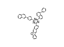 c1ccc(-c2cccc3c(-c4nc(-c5ccc(-c6ccc7ccccc7c6)cc5)nc(-c5ccc6cc7c(cc6c5)oc5ccccc57)n4)cccc23)cc1